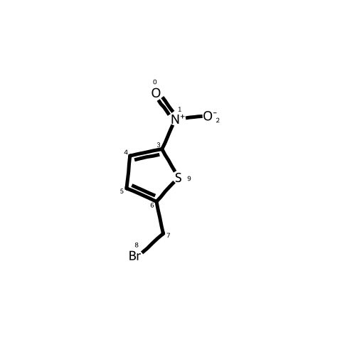 O=[N+]([O-])c1ccc(CBr)s1